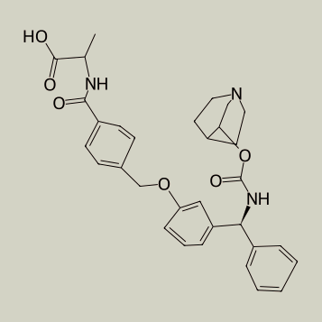 CC(NC(=O)c1ccc(COc2cccc([C@@H](NC(=O)OC3CN4CCC3CC4)c3ccccc3)c2)cc1)C(=O)O